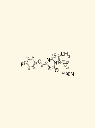 Cc1sc2nc(COc3ccc(F)cc3)cc(=O)n2c1C1CC1CC#N